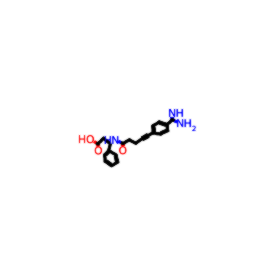 N=C(N)c1ccc(C#CCCC(=O)NC(CC(=O)O)c2ccccc2)cc1